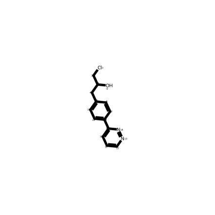 OC(CCl)Cc1ccc(-c2cccnn2)cc1